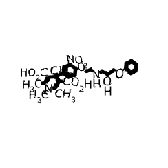 CC1=C(C(=O)O)C(C)(c2ccc(OCCNCC(O)COc3ccccc3)c([N+](=O)[O-])c2)C(C(=O)O)=C(C)N1C